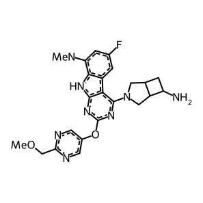 CNc1cc(F)cc2c1[nH]c1nc(Oc3cnc(COC)nc3)nc(N3CC4CC(N)C4C3)c12